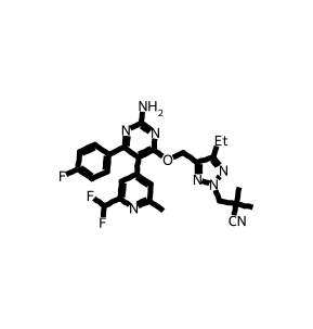 CCc1nn(CC(C)(C)C#N)nc1COc1nc(N)nc(-c2ccc(F)cc2)c1-c1cc(C)nc(C(F)F)c1